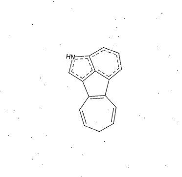 C1=CC2=C(C=CC1)c1c[nH]c3cccc2c13